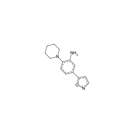 Nc1cc(-c2ccno2)ccc1N1CCCCC1